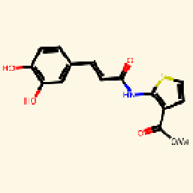 COC(=O)c1ccsc1NC(=O)C=Cc1ccc(O)c(O)c1